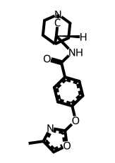 Cc1coc(Oc2ccc(C(=O)N[C@H]3CN4CCC3CC4)cc2)n1